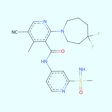 Cc1c(C#N)cnc(N2CCCC(F)(F)CC2)c1C(=O)Nc1ccnc(S(C)(=N)=O)c1